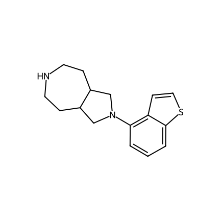 c1cc(N2CC3CCNCCC3C2)c2ccsc2c1